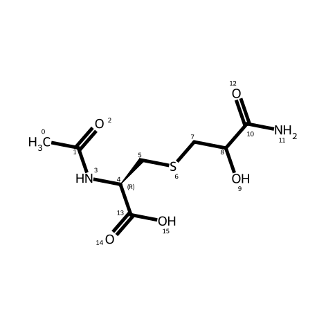 CC(=O)N[C@@H](CSCC(O)C(N)=O)C(=O)O